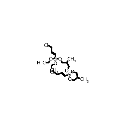 CCO[Si](C=CCCl)(OCC)OCC(C)CO[Si]1(C=CCCl)OCC(C)CO1